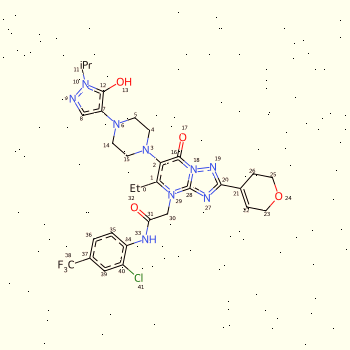 CCc1c(N2CCN(c3cnn(C(C)C)c3O)CC2)c(=O)n2nc(C3=CCOCC3)nc2n1CC(=O)Nc1ccc(C(F)(F)F)cc1Cl